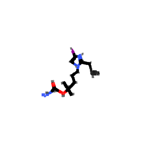 COCc1nc(I)cn1CCCC(C)(C)OC(N)=O